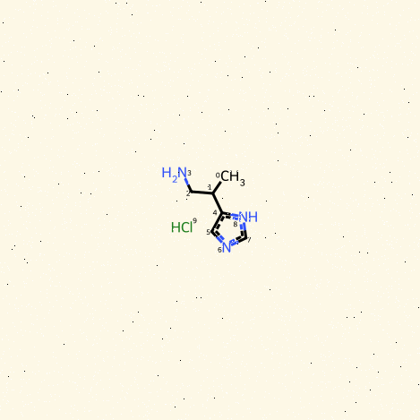 CC(CN)c1cnc[nH]1.Cl